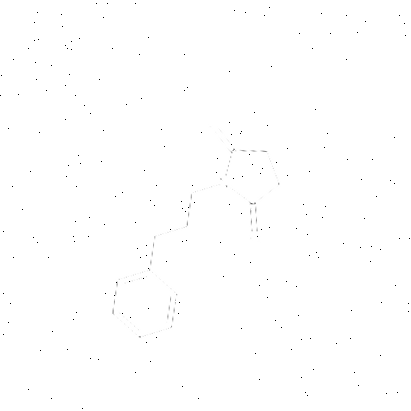 O=C1CCC(=O)N1CCCc1ccccc1